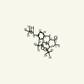 CC(C)C(=O)C(Cc1ccc(CNC(C)(C)C)cc1)N(CC(=O)C(C)(C)C)CC(=O)C(C)(C)C